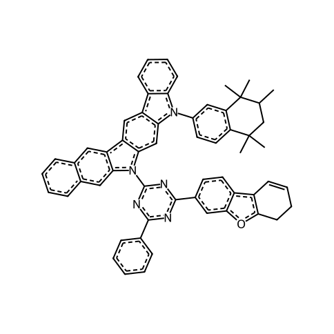 CC1CC(C)(C)c2ccc(-n3c4ccccc4c4cc5c6cc7ccccc7cc6n(-c6nc(-c7ccccc7)nc(-c7ccc8c9c(oc8c7)CCC=C9)n6)c5cc43)cc2C1(C)C